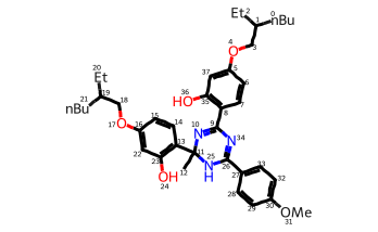 CCCCC(CC)COc1ccc(C2=NC(C)(c3ccc(OCC(CC)CCCC)cc3O)NC(c3ccc(OC)cc3)=N2)c(O)c1